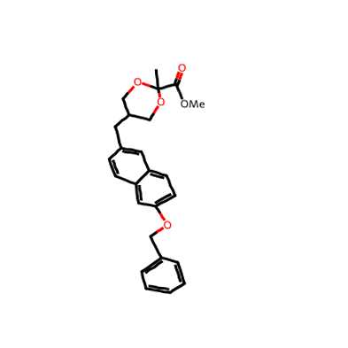 COC(=O)C1(C)OCC(Cc2ccc3cc(OCc4ccccc4)ccc3c2)CO1